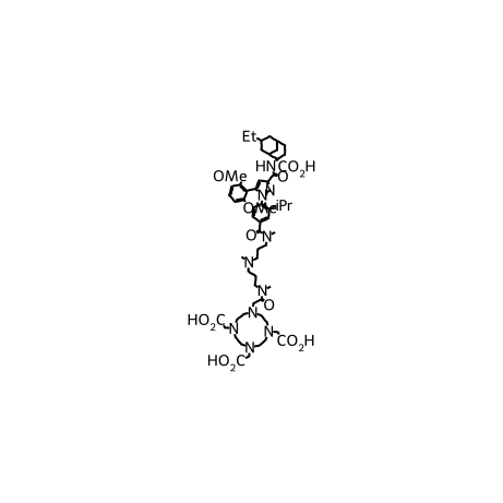 CCC1CC2CCC(NC(=O)c3cc(-c4c(OC)cccc4OC)n(-c4ccc(C(=O)N(C)CCCN(C)CCCN(C)C(=O)CN5CCN(CC(=O)O)CCN(CC(=O)O)CCN(CC(=O)O)CC5)cc4C(C)C)n3)(C(=O)O)C(C1)C2